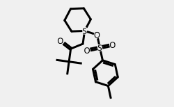 Cc1ccc(S(=O)(=O)OS2(CC(=O)C(C)(C)C)CCCCC2)cc1